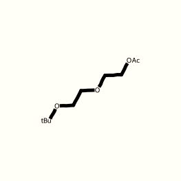 CC(=O)OCCOCCOC(C)(C)C